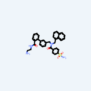 NCCNC(=O)c1ccccc1-c1cccc(CN(Cc2cccc3ccccc23)C(=O)c2ccc(S(N)(=O)=O)cc2)c1